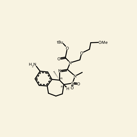 COCCOCN(C(=O)OC(C)(C)C)C1=N[C@]2(C)c3cc(N)ccc3CCC[C@H]2S(=O)(=O)N1C